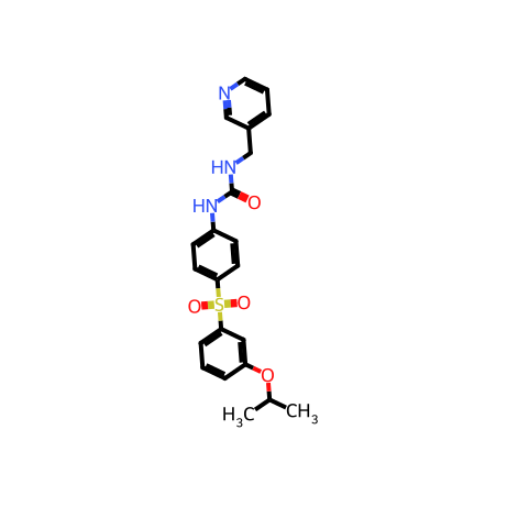 CC(C)Oc1cccc(S(=O)(=O)c2ccc(NC(=O)NCc3cccnc3)cc2)c1